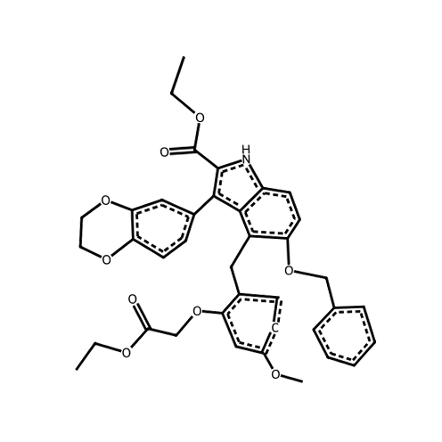 CCOC(=O)COc1cc(OC)ccc1Cc1c(OCc2ccccc2)ccc2[nH]c(C(=O)OCC)c(-c3ccc4c(c3)OCCO4)c12